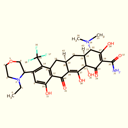 CCN1CCOCC1c1cc(O)c2c(c1C(F)(F)F)C[C@H]1C[C@H]3[C@H](N(C)C)C(O)=C(C(N)=O)C(=O)[C@@]3(O)C(O)=C1C2=O